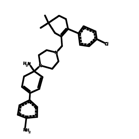 CC1(C)CCC(c2ccc(Cl)cc2)=C(CN2CCN(C3(N)C=CC(c4ccc(N)cc4)=CC3)CC2)C1